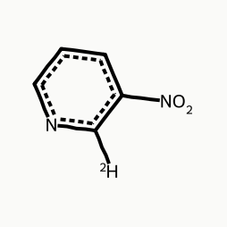 [2H]c1ncccc1[N+](=O)[O-]